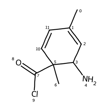 CC1=CC(N)C(C)(C(=O)Cl)C=C1